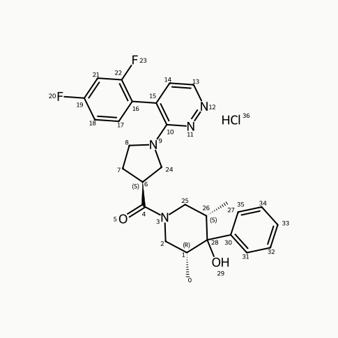 C[C@@H]1CN(C(=O)[C@H]2CCN(c3nnccc3-c3ccc(F)cc3F)C2)C[C@H](C)C1(O)c1ccccc1.Cl